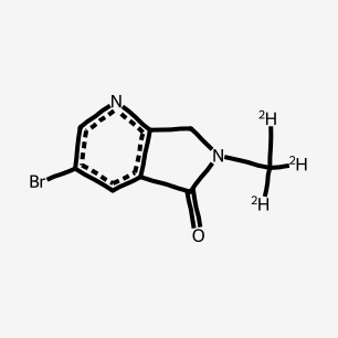 [2H]C([2H])([2H])N1Cc2ncc(Br)cc2C1=O